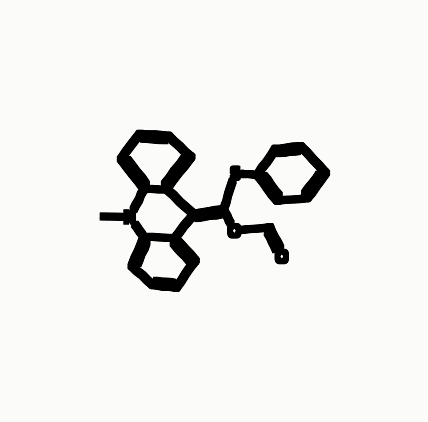 CN1c2ccccc2C(=C(OC=O)Sc2ccccc2)c2ccccc21